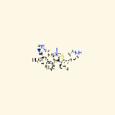 Cc1c(CC2CCNCC2)sc2[nH]c(-c3cc(C)c4ncnn4c3)c(C(C)C)c12